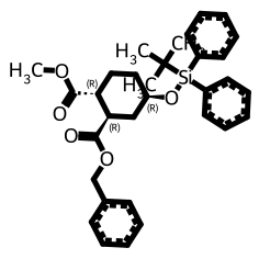 COC(=O)[C@@H]1CC[C@@H](O[Si](c2ccccc2)(c2ccccc2)C(C)(C)C)C[C@H]1C(=O)OCc1ccccc1